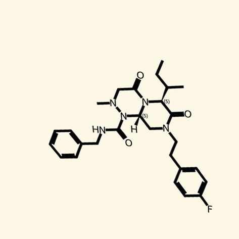 CCC(C)[C@H]1C(=O)N(CCc2ccc(F)cc2)C[C@H]2N1C(=O)CN(C)N2C(=O)NCc1ccccc1